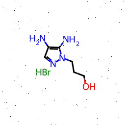 Br.Nc1cnn(CCCO)c1N